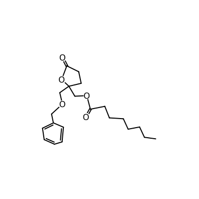 CCCCCCCC(=O)OCC1(COCc2ccccc2)CCC(=O)O1